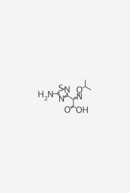 CC(C)O/N=C(/C(=O)O)c1nsc(N)n1